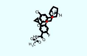 CS(=O)(=O)NC(=O)c1cc(C2CC2)c(OCC2CC3CC[C@@H](C2)N3Cc2cc(Cl)cc(Cl)c2)cc1F